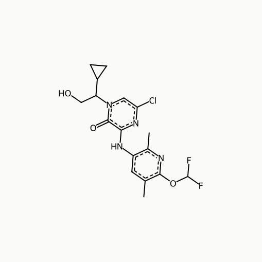 Cc1cc(Nc2nc(Cl)cn(C(CO)C3CC3)c2=O)c(C)nc1OC(F)F